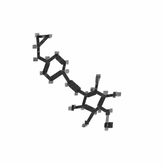 N#CSc1c(F)c(F)c(C#Cc2ccc(CC3CC3)cc2)c(F)c1F